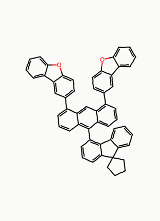 c1ccc2c(c1)-c1c(-c3c4cccc(-c5ccc6oc7ccccc7c6c5)c4cc4c(-c5ccc6oc7ccccc7c6c5)cccc34)cccc1C21CCCC1